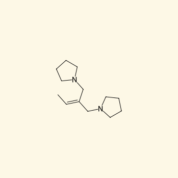 CC=C(CN1CCCC1)CN1CCCC1